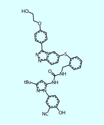 CC(C)(C)c1cc(NC(=O)NCc2ccccc2Sc2ccc3nnc(-c4ccc(OCCO)cc4)n3c2)n(-c2ccc(O)c(C#N)c2)n1